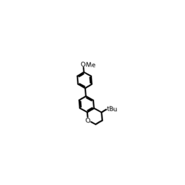 COc1ccc(-c2ccc3c(c2)C(C(C)(C)C)CCO3)cc1